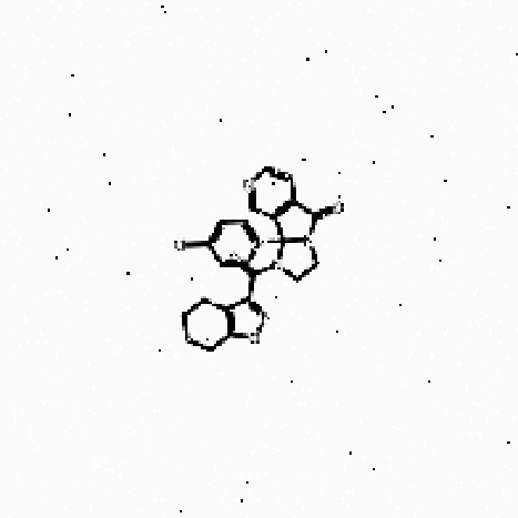 O=C1c2ccncc2C2(c3ccc(Cl)cc3)N1CCN2C(=O)c1noc2c1CCCC2